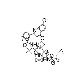 COc1ccc2c(OC3CC(C(=O)NC4(C(=O)NS(=O)(=O)C5(CC6CC6)CC5)CC45CC5)N(C(=O)C(NC(=O)OC(C)(C)C)C(C)(C)C)C3)cc(-c3ccccc3)nc2c1